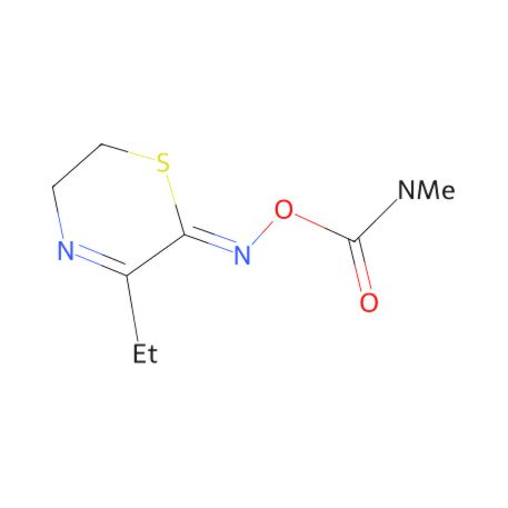 CCC1=NCCSC1=NOC(=O)NC